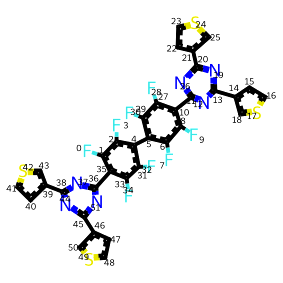 Fc1c(F)c(-c2c(F)c(F)c(-c3nc(-c4ccsc4)nc(-c4ccsc4)n3)c(F)c2F)c(F)c(F)c1-c1nc(-c2ccsc2)nc(-c2ccsc2)n1